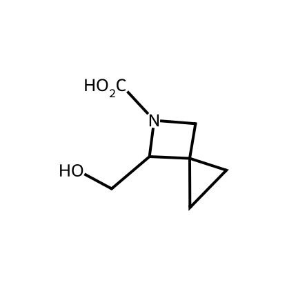 O=C(O)N1CC2(CC2)C1CO